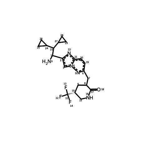 NC(c1cn2nc(CC3C[C@@H](C(F)(F)F)CNC3=O)ccc2n1)C(C1CC1)C1CC1